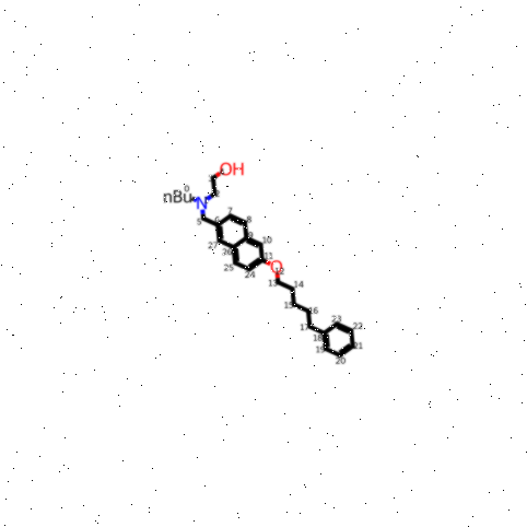 CCCCN(CCO)Cc1ccc2cc(OCCCCCc3ccccc3)ccc2c1